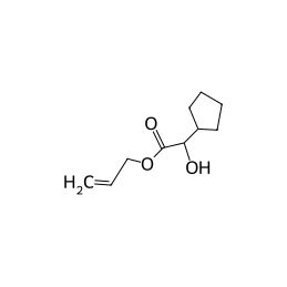 C=CCOC(=O)C(O)C1CCCC1